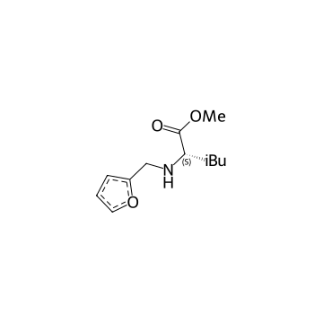 CCC(C)[C@H](NCc1ccco1)C(=O)OC